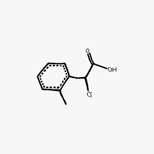 Cc1ccccc1C(Cl)C(=O)O